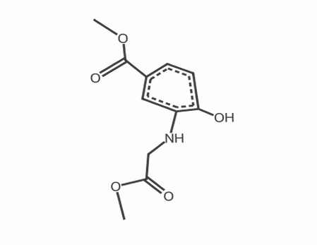 COC(=O)CNc1cc(C(=O)OC)ccc1O